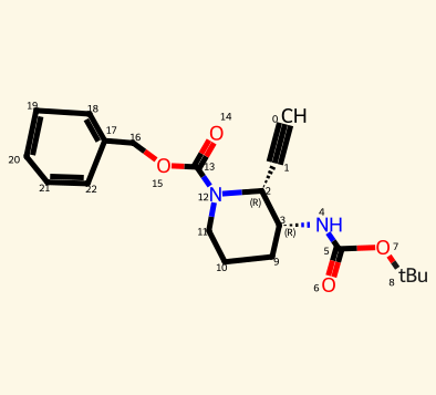 C#C[C@@H]1[C@H](NC(=O)OC(C)(C)C)CCCN1C(=O)OCc1ccccc1